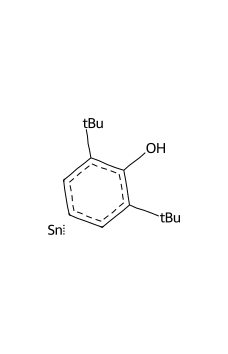 CC(C)(C)c1cccc(C(C)(C)C)c1O.[Sn]